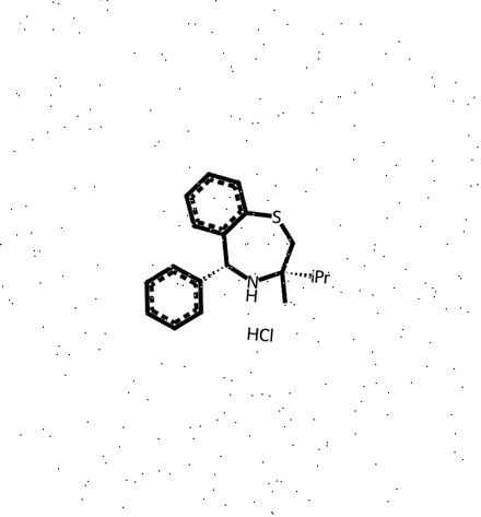 CC(C)[C@@]1(C)CSc2ccccc2[C@@H](c2ccccc2)N1.Cl